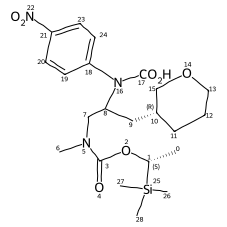 C[C@@H](OC(=O)N(C)CC(C[C@H]1CCCOC1)N(C(=O)O)c1ccc([N+](=O)[O-])cc1)[Si](C)(C)C